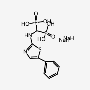 O=P(O)(O)C(Nc1ncc(-c2ccccc2)s1)P(=O)(O)O.[NaH].[NaH]